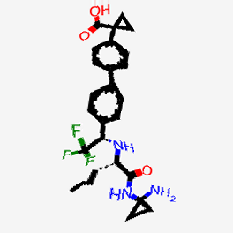 CCC[C@H](N[C@@H](c1ccc(-c2ccc(C3(C(=O)O)CC3)cc2)cc1)C(F)(F)F)C(=O)NC1(N)CC1